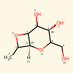 CC1OC2C(O)[C@@H](O)C(CO)O[C@@H]12